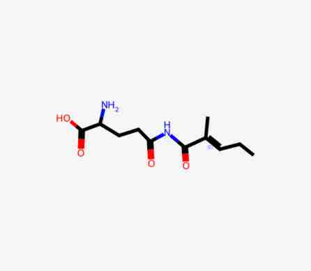 CC/C=C(\C)C(=O)NC(=O)CCC(N)C(=O)O